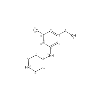 OCc1cc(NC2CCNCC2)nc(C(F)(F)F)c1